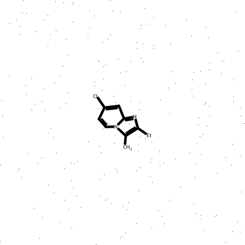 CCc1nc2cc(Cl)ccn2c1C